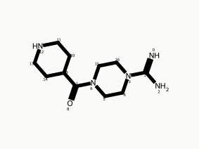 N=C(N)N1CCN(C(=O)C2CCNCC2)CC1